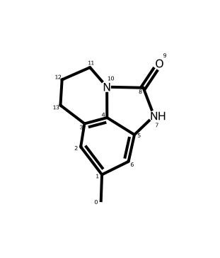 Cc1cc2c3c(c1)[nH]c(=O)n3CCC2